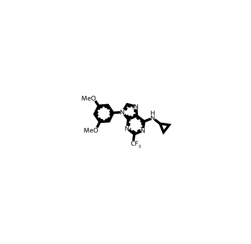 COc1cc(OC)cc(-n2cnc3c(NC4CC4)nc(C(F)(F)F)nc32)c1